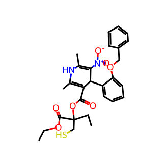 CCOC(=O)C(CC)(CS)OC(=O)C1=C(C)NC(C)=C([N+](=O)[O-])C1c1ccccc1OCc1ccccc1